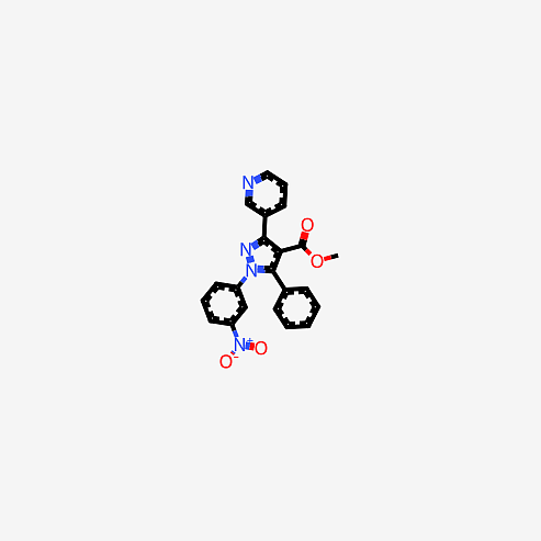 COC(=O)c1c(-c2cccnc2)nn(-c2cccc([N+](=O)[O-])c2)c1-c1ccccc1